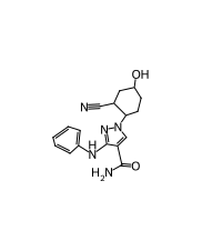 N#CC1CC(O)CCC1n1cc(C(N)=O)c(Nc2ccccc2)n1